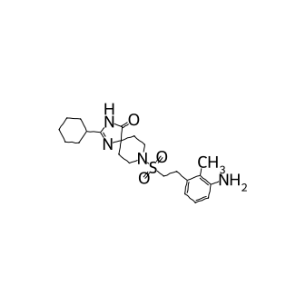 Cc1c(N)cccc1CCS(=O)(=O)N1CCC2(CC1)N=C(C1CCCCC1)NC2=O